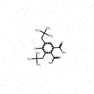 CC(C)(C)Cc1cc(C(=O)O)c(C(=O)O)c(CC(C)(C)C)c1Cl